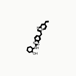 C=Cc1ccn2c(Cc3ccc4nc(NC5CCCCC5O)sc4c3)cnc2c1